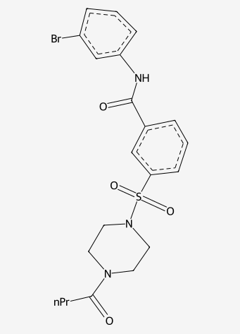 CCCC(=O)N1CCN(S(=O)(=O)c2cccc(C(=O)Nc3cccc(Br)c3)c2)CC1